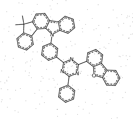 CC1(C)c2ccccc2-c2c1ccc1c3ccccc3n(-c3cccc(-c4nc(-c5ccccc5)nc(-c5cccc6c5oc5ccccc56)n4)c3)c21